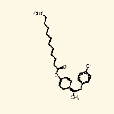 CC(Cc1ccc([O])cc1)=C1C=CC(OC(=O)CCCCCCCCCC[C]=O)=CC1